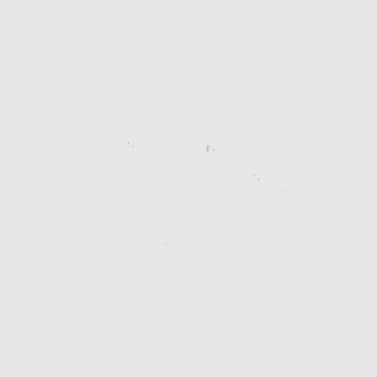 Cl.NNC(=O)[C@H](Cc1c[nH]c2ccccc12)NC(=O)O